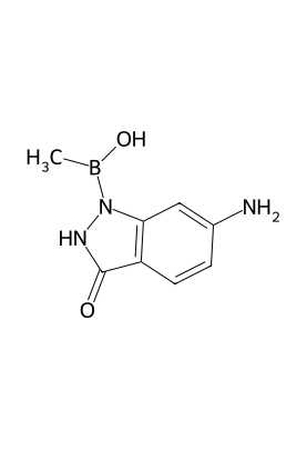 CB(O)n1[nH]c(=O)c2ccc(N)cc21